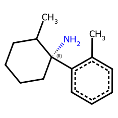 Cc1ccccc1[C@@]1(N)CCCCC1C